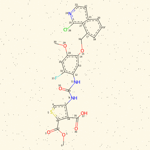 COC(=O)c1scc(NC(=O)Nc2cc(OCc3cccc4ccnc(Cl)c34)c(OC)cc2F)c1C(=O)O